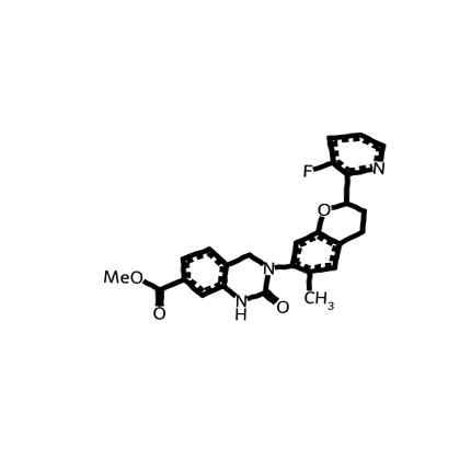 COC(=O)c1ccc2c(c1)NC(=O)N(c1cc3c(cc1C)CCC(c1ncccc1F)O3)C2